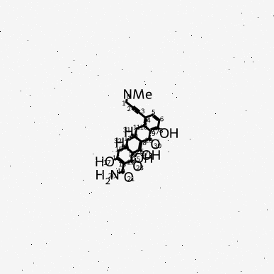 CNCC#Cc1ccc(O)c2c1C[C@H]1C[C@H]3CC(O)=C(C(N)=O)C(=O)[C@@]3(O)C(O)=C1C2=O